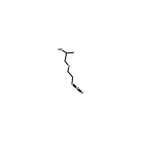 [N-]=[N+]=NCCOCC(O)F